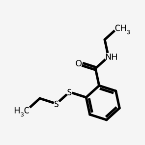 CCNC(=O)c1ccccc1SSCC